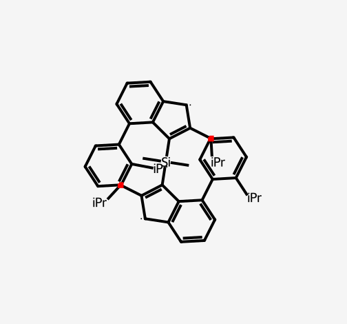 CC(C)CC1=C([Si](C)(C)C2=C(CC(C)C)[CH]c3cccc(-c4ccccc4C(C)C)c32)c2c(cccc2-c2ccccc2C(C)C)[CH]1